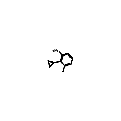 C[C](C)c1cccc(C)c1C1CC1